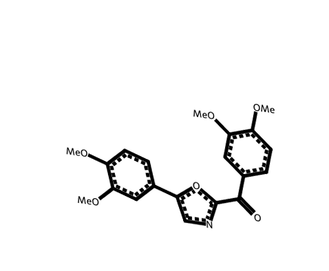 COc1ccc(C(=O)c2ncc(-c3ccc(OC)c(OC)c3)o2)cc1OC